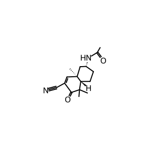 CC(=O)N[C@@H]1CC[C@@H]2C(C)(C)C(=O)C(C#N)=C[C@@]2(C)C1